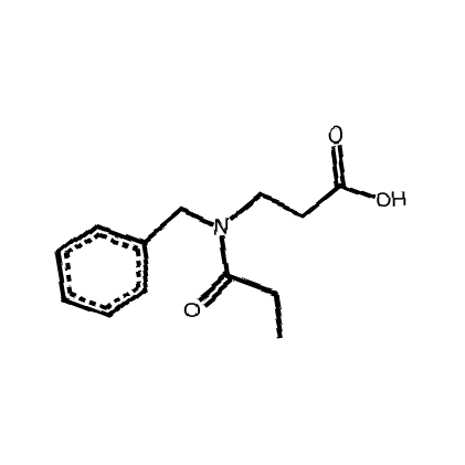 CCC(=O)N(CCC(=O)O)Cc1ccccc1